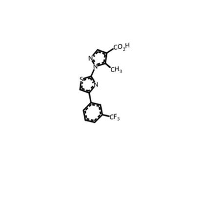 Cc1c(C(=O)O)cnn1-c1nc(-c2cccc(C(F)(F)F)c2)cs1